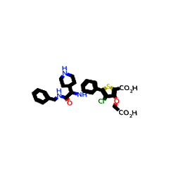 O=C(O)COc1c(C(=O)O)sc(-c2cccc(NC(C(=O)NCc3ccccc3)C3CCNCC3)c2)c1Cl